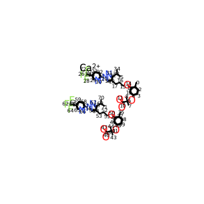 Cc1ccc(OC(C)(C)C(=O)[O-])cc1OCCCc1cn(-c2ccc(C(F)(F)F)cn2)nc1C(C)C.Cc1ccc(OC(C)(C)C(=O)[O-])cc1OCCCc1cn(-c2ccc(C(F)(F)F)cn2)nc1C(C)C.[Ca+2]